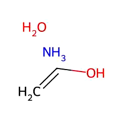 C=CO.N.O